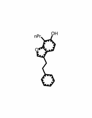 CCCc1c(O)ccc2c(CCc3ccccc3)coc12